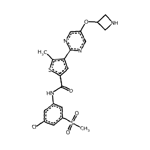 Cc1sc(C(=O)Nc2cc(Cl)cc(S(C)(=O)=O)c2)cc1-c1ncc(OC2CNC2)cn1